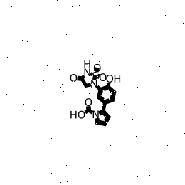 O=C1CN(c2cc(-c3cccn3C(=O)O)ccc2O)S(=O)(=O)N1